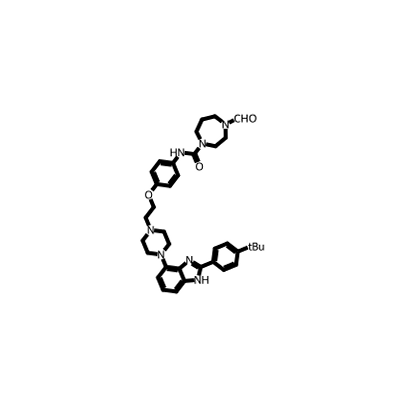 CC(C)(C)c1ccc(-c2nc3c(N4CCN(CCOc5ccc(NC(=O)N6CCCN(C=O)CC6)cc5)CC4)cccc3[nH]2)cc1